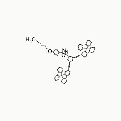 CCCCCCCCOc1ccc(-c2nnc(-c3cc(C#Cc4ccc5c(c4)C4(c6ccccc6-c6ccccc64)c4ccccc4-5)cc(C#Cc4ccc5c(c4)C4(c6ccccc6-c6ccccc64)c4ccccc4-5)c3)o2)cc1